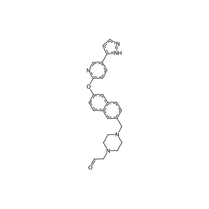 O=CCN1CCN(Cc2ccc3cc(Oc4ccc(-c5ccn[nH]5)cn4)ccc3c2)CC1